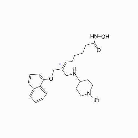 CC(C)N1CCC(NC/C(=C\CCCCC(=O)NO)COc2cccc3ccccc23)CC1